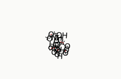 COC(=O)O[C@@]12CO[C@@H]1C[C@H](OC)[C@@]1(C)C(=O)[C@H](OC)C3=C(C)[C@@H](OC(=O)[C@H](O)[C@@H](NC(=O)OC(C)(C)C)C(C)(C)C)CC(O)([C@@H](OC(=O)c4ccccc4)[C@H]21)C3(C)C